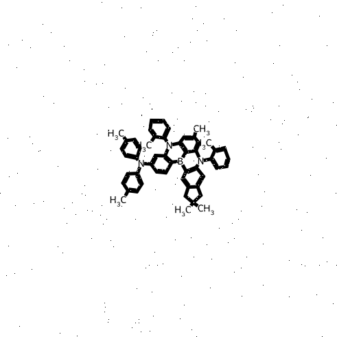 Cc1ccc(N(c2ccc(C)cc2)c2ccc3c(c2)N(c2ccccc2C)c2cc(C)cc4c2B3c2cc3c(cc2N4c2ccccc2C)CC(C)(C)C3)cc1